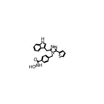 O=C(NO)c1ccc(Cn2c(Cc3c[nH]c4ccccc34)nnc2-c2cccs2)cc1